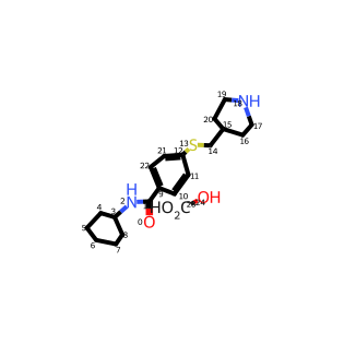 O=C(NC1CCCCC1)c1ccc(SCC2CCNCC2)cc1.O=C(O)O